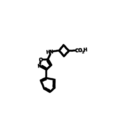 O=C(O)C1CC(Nc2cc(-c3ccccc3)no2)C1